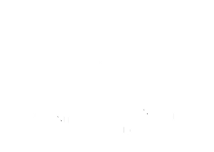 CCNc1ccc(F)c(CN(C)C)c1